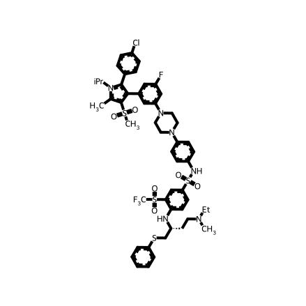 CCN(C)CC[C@H](CSc1ccccc1)Nc1ccc(S(=O)(=O)Nc2ccc(N3CCN(c4cc(F)cc(-c5c(S(C)(=O)=O)c(C)n(C(C)C)c5-c5ccc(Cl)cc5)c4)CC3)cc2)cc1S(=O)(=O)C(F)(F)F